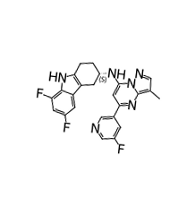 Cc1cnn2c(N[C@H]3CCc4[nH]c5c(F)cc(F)cc5c4C3)cc(-c3cncc(F)c3)nc12